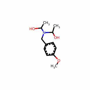 COc1ccc(CN(C(C)O)C(C)O)cc1